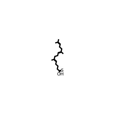 CC(C)=CCCC(C)=CCCC(C)=CCCCC(O)=S